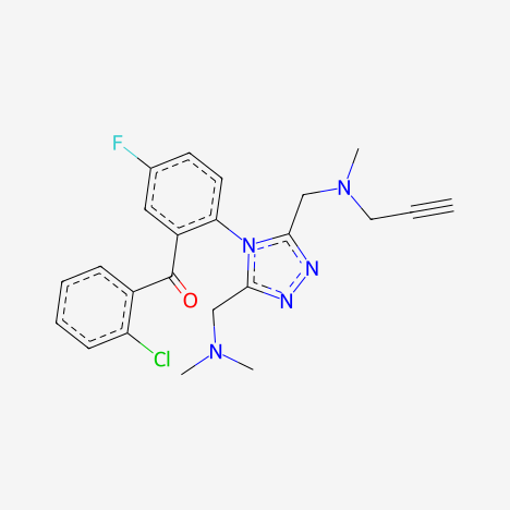 C#CCN(C)Cc1nnc(CN(C)C)n1-c1ccc(F)cc1C(=O)c1ccccc1Cl